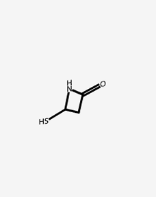 O=C1CC(S)N1